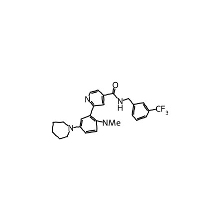 CNc1ccc(N2CCCCC2)cc1-c1cc(C(=O)NCc2cccc(C(F)(F)F)c2)ccn1